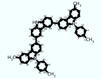 Cc1ccc(-n2c3ccc(C)cc3c3cc(-c4ccc5[nH]c6ccc(-c7ccc8c(c7)c7cc(C)ccc7n8-c7ccc(C)cc7)cc6c5c4)ccc32)cc1